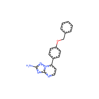 Nc1nc2nccc(-c3ccc(OCc4ccccc4)cc3)n2n1